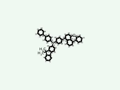 CC1(C)c2ccccc2-c2ccc(N(c3ccc(-c4ccccc4)cc3)c3ccc(-c4ccc5c6c(cccc46)-c4ccccc4O5)cc3)cc21